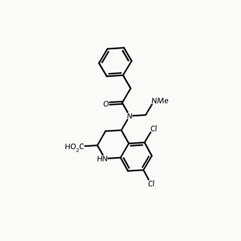 CNCN(C(=O)Cc1ccccc1)C1CC(C(=O)O)Nc2cc(Cl)cc(Cl)c21